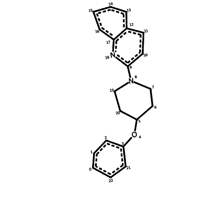 c1ccc(OC2CCN(c3ccc4ccccc4n3)CC2)cc1